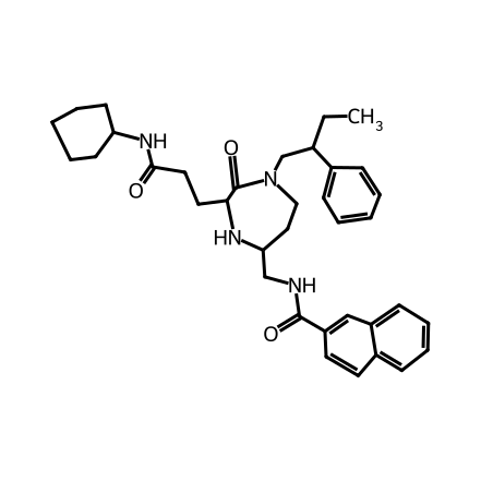 CCC(CN1CCC(CNC(=O)c2ccc3ccccc3c2)NC(CCC(=O)NC2CCCCC2)C1=O)c1ccccc1